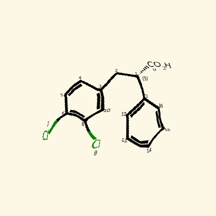 O=C(O)[C@@H](Cc1ccc(Cl)c(Cl)c1)c1ccccc1